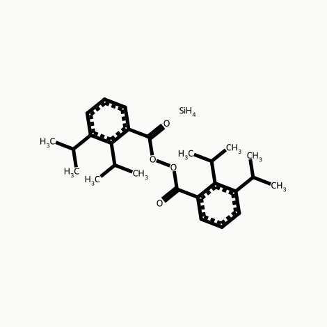 CC(C)c1cccc(C(=O)OOC(=O)c2cccc(C(C)C)c2C(C)C)c1C(C)C.[SiH4]